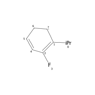 CC(C)C1=C(F)C=CC[CH]1